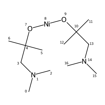 CN(C)CC(C)(C)[O][Ni][O]C(C)(C)CN(C)C